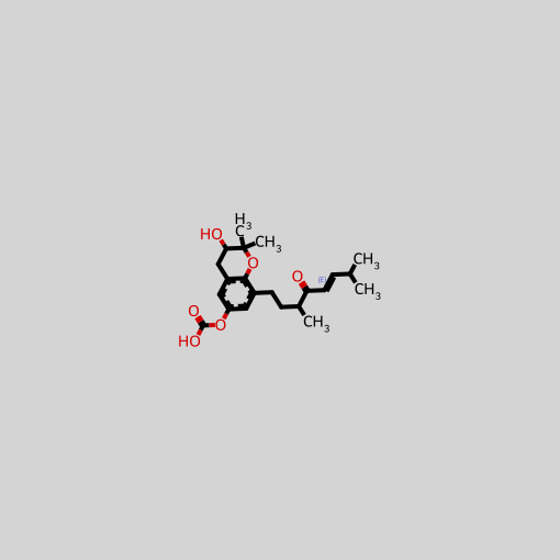 CC(C)/C=C/C(=O)C(C)CCc1cc(OC(=O)O)cc2c1OC(C)(C)C(O)C2